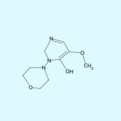 COC1=C(O)N(N2CCOCC2)CN=C1